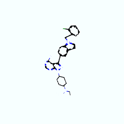 CN(CC(=O)O)C1CCC(n2nc(-c3ccc4c(ccn4Cc4ccccc4F)c3)c3c(N)ncnc32)CC1